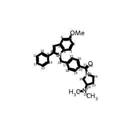 COc1ccc2c(c1)cc(-c1ccccc1)n2Cc1ccc(C(=O)N2CCC(N(C)C)C2)cc1